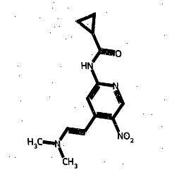 CN(C)C=Cc1cc(NC(=O)C2CC2)ncc1[N+](=O)[O-]